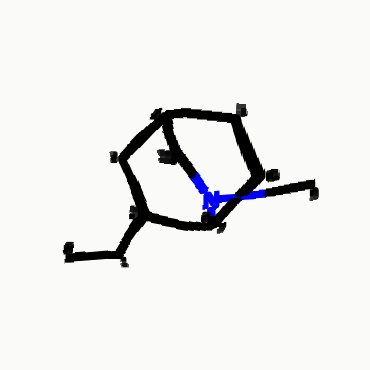 CCC1CC2CCC1N(C)C2